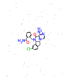 NC(=O)c1ccccc1CN(C(=O)c1nccnc1N)[C@@H]1CCc2ccc(Cl)cc21